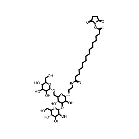 O=C(CCCCCCCCCCCCCCC(=O)ON1C(=O)CCC1=O)NCCO[C@H]1OC(CO[C@H]2OC(CO)[C@@H](O)C(O)C2O)[C@@H](O)C(O[C@H]2OC(CO)[C@@H](O)C(O)C2O)C1O